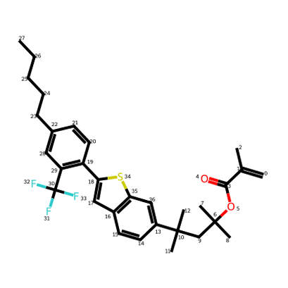 C=C(C)C(=O)OC(C)(C)CC(C)(C)c1ccc2cc(-c3ccc(CCCCC)cc3C(F)(F)F)sc2c1